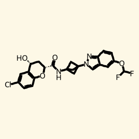 O=C(NC12CC(n3cc4cc(OC(F)F)ccc4n3)(C1)C2)[C@H]1C[C@@H](O)c2cc(Cl)ccc2O1